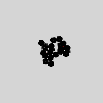 c1ccc(-c2cccc(-c3ccc(-c4ccc5sc6cccc(-c7nc(-c8ccccc8)nc(-c8ccc(-c9cc(-c%10ccccc%10)cc(-c%10c(-c%11ccccc%11)cccc%10-c%10ccc%11sc%12cccc(-c%13nc(-c%14ccccc%14)nc(-c%14ccccc%14)n%13)c%12c%11c%10)c9)cc8)n7)c6c5c4)c(-c4ccccc4)c3)c2)cc1